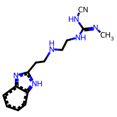 C/N=C(/NC#N)NCCNCCc1nc2ccccc2[nH]1